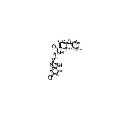 O=C(NCCSc1nc2cc(Cl)ccc2[nH]1)c1ccc(Oc2cccnc2)cc1